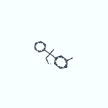 [CH2]CC(C)(c1ccccc1)c1cccc(C)c1